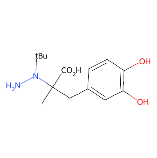 CC(C)(C)N(N)C(C)(Cc1ccc(O)c(O)c1)C(=O)O